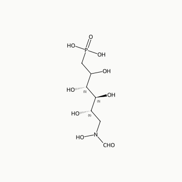 O=CN(O)C[C@H](O)[C@H](O)[C@H](O)C(O)CP(=O)(O)O